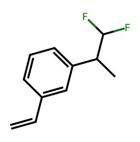 C=Cc1cccc(C(C)C(F)F)c1